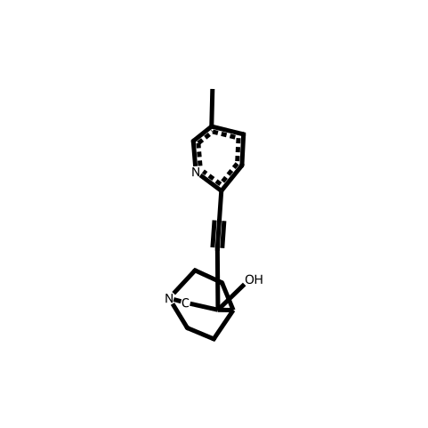 Cc1ccc(C#CC2(O)CN3CCC2CC3)nc1